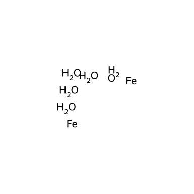 O.O.O.O.O.[Fe].[Fe]